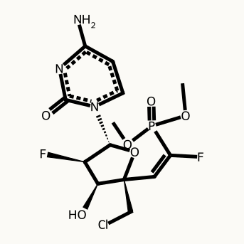 COP(=O)(OC)/C(F)=C\[C@@]1(CCl)O[C@@H](n2ccc(N)nc2=O)[C@H](F)[C@@H]1O